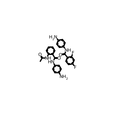 CC(=O)Nc1ccccc1C(=O)Nc1ccc(N)cc1.Nc1ccc(NC(=O)c2ccc(F)cc2F)cc1